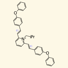 CC(C)C[n+]1c(/C=C/c2ccc(Oc3ccccc3)cc2)cccc1/C=C/c1ccc(Oc2ccccc2)cc1